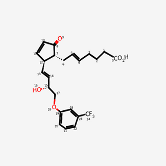 O=C(O)CCCC=CC[C@H]1C(=O)C=C[C@@H]1C=C[C@@H](O)COc1cccc(C(F)(F)F)c1